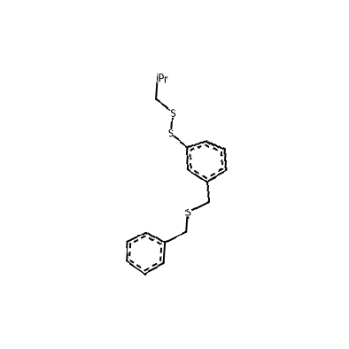 CC(C)CSSc1cccc(CSCc2ccccc2)c1